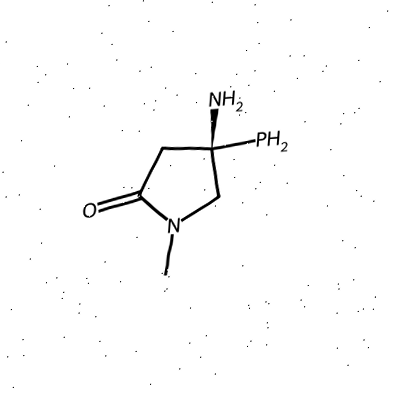 CN1C[C@@](N)(P)CC1=O